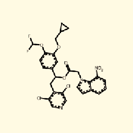 O=C(Cn1ccc2cccc([N+](=O)[O-])c21)OC(Cc1c(Cl)cncc1Cl)c1ccc(OC(F)F)c(OCC2CC2)c1